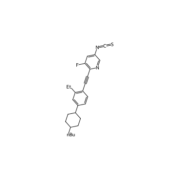 CCCCC1CCC(c2ccc(C#Cc3ncc(N=C=S)cc3F)c(CC)c2)CC1